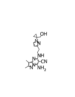 Cc1nn2c(N)c(C#N)c(NCCc3ccn(C4(CO)CC4)n3)nc2c1C